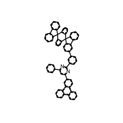 c1ccc(-c2cc(-c3ccc4c5ccccc5c5ccccc5c4c3)nc(-c3cccc(-c4ccc5c(c4)-c4ccccc4C54c5ccccc5C5(c6ccccc6-c6ccccc65)c5ccccc54)c3)n2)cc1